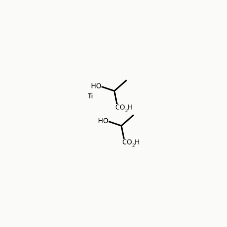 CC(O)C(=O)O.CC(O)C(=O)O.[Ti]